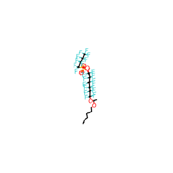 CCCCCCOC(C)OC(F)(F)C(F)(F)C(F)(F)C(F)(F)C(F)(F)C(F)(F)OS(=O)(=O)C(F)(F)C(F)(F)C(F)(F)C(F)(F)F